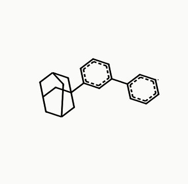 [c]1cccc(-c2cccc(C34CC5CC(CC(C5)C3)C4)c2)c1